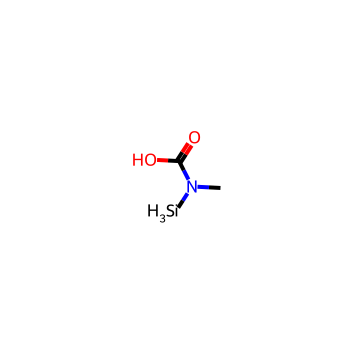 CN([SiH3])C(=O)O